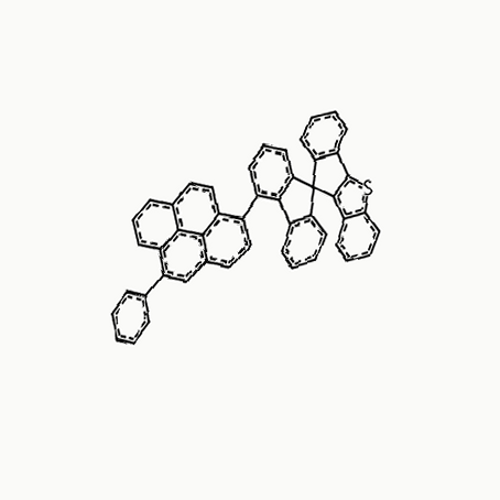 c1ccc(-c2cc3ccc(-c4cccc5c4-c4ccccc4C54c5ccccc5-c5sc6ccccc6c54)c4ccc5cccc2c5c34)cc1